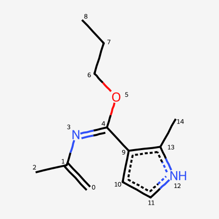 C=C(C)/N=C(/OCCC)c1cc[nH]c1C